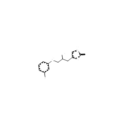 O=c1[nH]cc(CC(O)CNc2cccc(F)c2)[nH]1